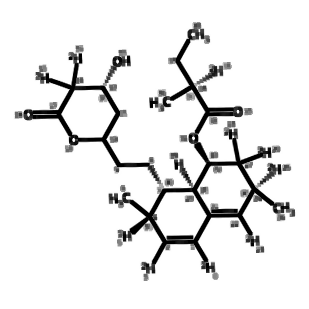 [2H]C1=C([2H])[C@]([2H])(C)[C@H](CCC2C[C@@H](O)C([2H])([2H])C(=O)O2)[C@@H]2C1=C([2H])[C@]([2H])(C)C([2H])([2H])[C@@H]2OC(=O)[C@@]([2H])(C)CC